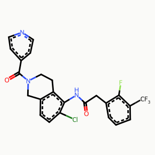 O=C(Cc1cccc(C(F)(F)F)c1F)Nc1c(Cl)ccc2c1CCN(C(=O)c1ccncc1)C2